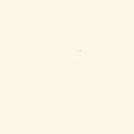 CNC(=O)c1c(C)c(-c2ccc(F)cc2Oc2ccc(F)cc2)c(-c2ccc3occc3c2)c(C(=O)O)c1OC